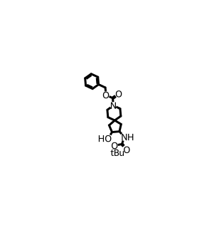 CC(C)(C)OC(=O)NC1CC2(CCN(C(=O)OCc3ccccc3)CC2)CC1O